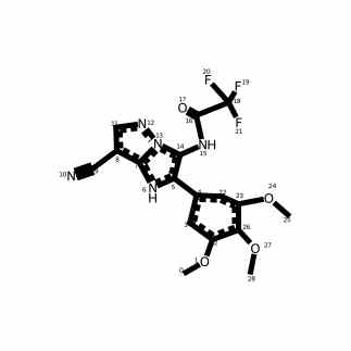 COc1cc(-c2[nH]c3c(C#N)cnn3c2NC(=O)C(F)(F)F)cc(OC)c1OC